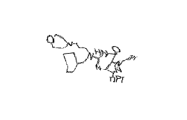 CCCc1nn(C(C)C)c2c(=O)[nH]c(N(CCCN3CCOCC3)CC3CCCCC3)nc12